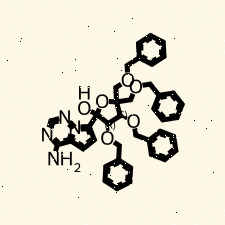 Nc1ncnn2c(C3(O)OC(COCc4ccccc4)(COCc4ccccc4)[C@@H](OCc4ccccc4)[C@H]3OCc3ccccc3)ccc12